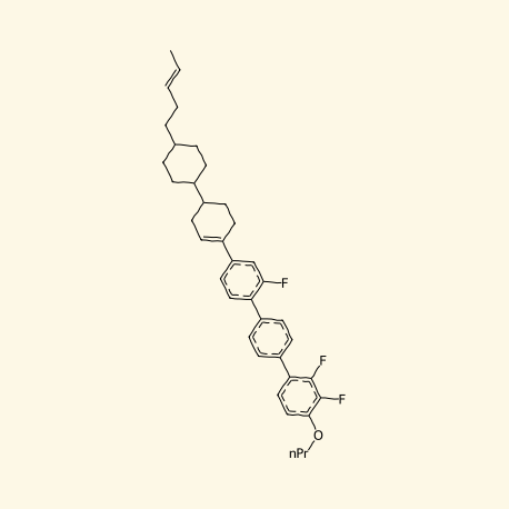 C/C=C/CCC1CCC(C2CC=C(c3ccc(-c4ccc(-c5ccc(OCCC)c(F)c5F)cc4)c(F)c3)CC2)CC1